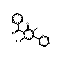 Cn1c(-c2ccccn2)cc(O)c(C(=N)c2ccccc2)c1=O